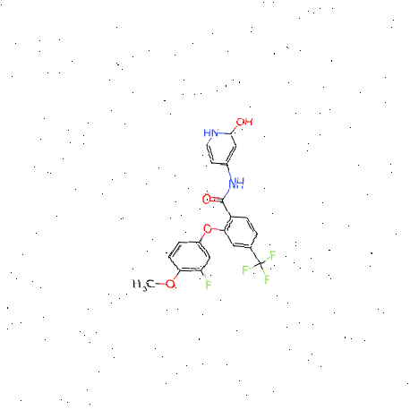 COc1ccc(Oc2cc(C(F)(F)F)ccc2C(=O)NC2=CC(O)NC=C2)cc1F